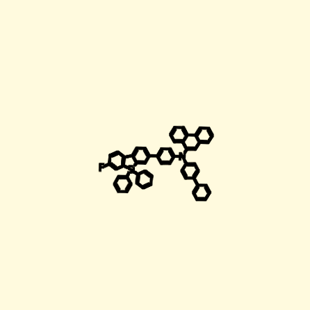 Fc1ccc2c(c1)[Si](c1ccccc1)(c1ccccc1)c1cc(-c3ccc(N(c4ccc(-c5ccccc5)cc4)c4cc5ccccc5c5ccccc45)cc3)ccc1-2